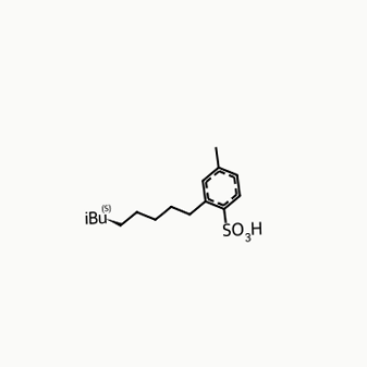 CC[C@H](C)CCCCCc1cc(C)ccc1S(=O)(=O)O